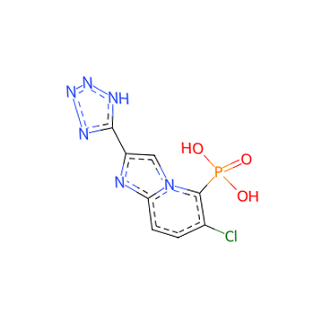 O=P(O)(O)c1c(Cl)ccc2nc(-c3nnn[nH]3)cn12